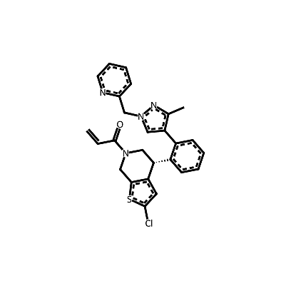 C=CC(=O)N1Cc2sc(Cl)cc2[C@@H](c2ccccc2-c2cn(Cc3ccccn3)nc2C)C1